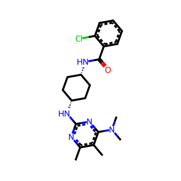 Cc1nc(N[C@H]2CC[C@@H](NC(=O)c3ccccc3Cl)CC2)nc(N(C)C)c1C